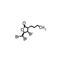 CCCCC1C(=O)OC(=C(Br)Br)C1Br